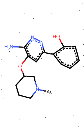 CC(=O)N1CCCC(Oc2cc(-c3ccccc3O)nnc2N)C1